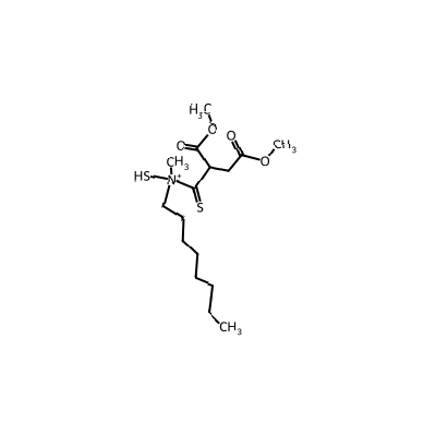 CCCCCCCC[N+](C)(S)C(=S)C(CC(=O)OC)C(=O)OC